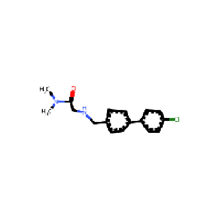 CN(C)C(=O)CNCc1ccc(-c2ccc(Cl)cc2)cc1